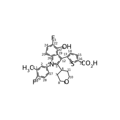 Cc1cc(-n2c(C3CCOCC3)c(-c3ccc(C(=O)O)s3)c3c(O)c(F)ccc32)ccc1F